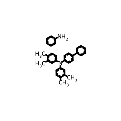 Cc1ccc(N(c2ccc(-c3ccccc3)cc2)c2ccc(C)c(C)c2)cc1C.Nc1ccccc1